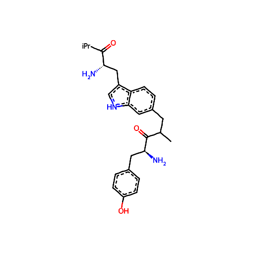 CC(C)C(=O)[C@@H](N)Cc1c[nH]c2cc(CC(C)C(=O)[C@@H](N)Cc3ccc(O)cc3)ccc12